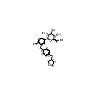 O/C=C1/O[C@@H](c2ccc(Cl)c(Cc3ccc(O[C@H]4CCOC4)cc3)c2)[C@H](O)[C@@H](O)[C@@H]1O